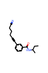 CCC(C)NC(=O)c1cccc(C#CCCCC#N)c1